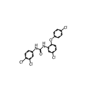 O=C(Nc1ccc(Cl)c(Cl)c1)Nc1cc(Cl)ccc1Oc1ccc(Cl)cc1